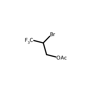 CC(=O)OCC(Br)C(F)(F)F